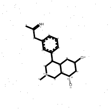 CC(=N)Cc1cccc(C2CN(C)CC3C2CC(Cl)C[C@@H]3Cl)c1